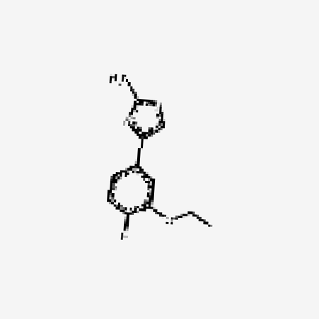 Nc1nc(-c2ccc(F)c(OCF)c2)cs1